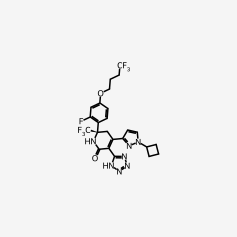 O=C1N[C@@](c2ccc(OCCCC(F)(F)F)cc2F)(C(F)(F)F)CC(c2ccn(C3CCC3)n2)=C1c1nnn[nH]1